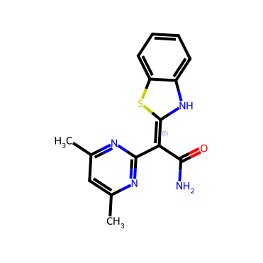 Cc1cc(C)nc(/C(C(N)=O)=C2/Nc3ccccc3S2)n1